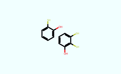 Oc1cccc(S)c1S.Oc1ccccc1S